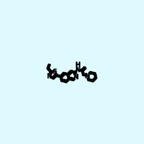 C=C(CN1CCCCC1)Nc1cc2cc(-c3cnc(CC)s3)ccc2cn1